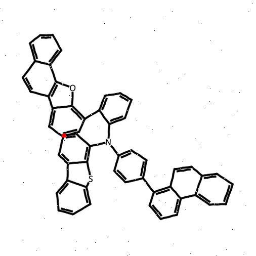 c1ccc(N(c2ccc(-c3cccc4c3ccc3ccccc34)cc2)c2cccc3c2sc2ccccc23)c(-c2cccc3c2oc2c4ccccc4ccc32)c1